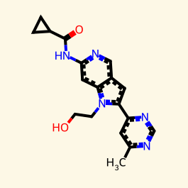 Cc1cc(-c2cc3cnc(NC(=O)C4CC4)cc3n2CCO)ncn1